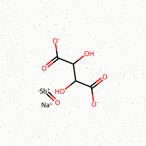 O=C([O-])C(O)C(O)C(=O)[O-].[Na+].[O]=[Sb+]